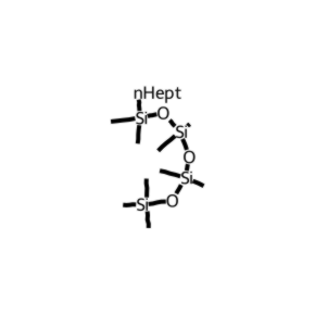 [CH2]CCCCCC[Si](C)(C)O[Si](C)(C)O[Si](C)(C)O[Si](C)(C)C